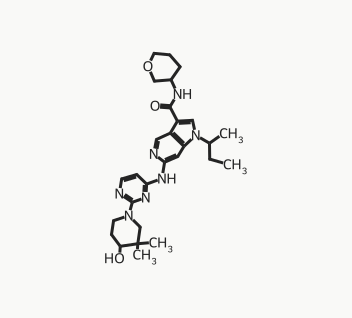 CCC(C)n1cc(C(=O)NC2CCCOC2)c2cnc(Nc3ccnc(N4CCC(O)C(C)(C)C4)n3)cc21